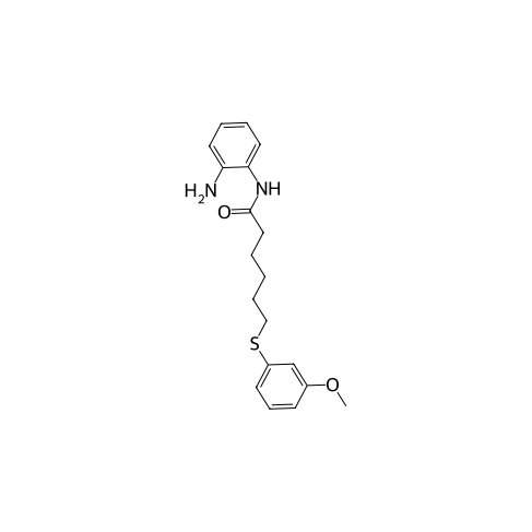 COc1cccc(SCCCCCC(=O)Nc2ccccc2N)c1